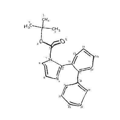 CC(C)(C)OC(=O)n1ccnc1-c1ccccc1-c1ccccc1